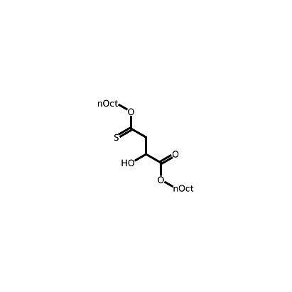 CCCCCCCCOC(=O)C(O)CC(=S)OCCCCCCCC